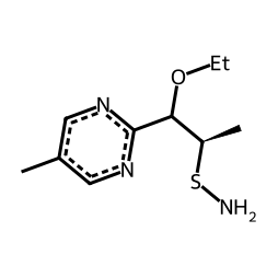 CCOC(c1ncc(C)cn1)[C@@H](C)SN